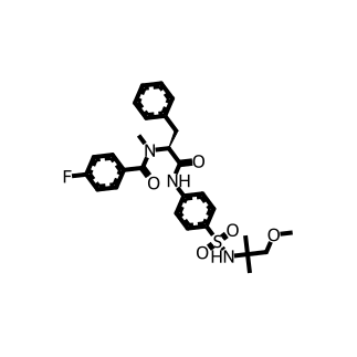 COCC(C)(C)NS(=O)(=O)c1ccc(NC(=O)[C@H](Cc2ccccc2)N(C)C(=O)c2ccc(F)cc2)cc1